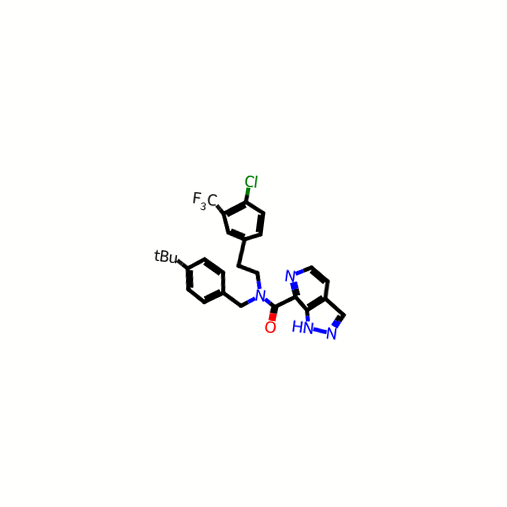 CC(C)(C)c1ccc(CN(CCc2ccc(Cl)c(C(F)(F)F)c2)C(=O)c2nccc3cn[nH]c23)cc1